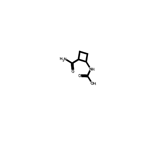 NC(=O)C1CCC1NC(=O)O